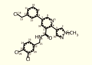 Cn1cc(-c2ncc(-c3cccc(CCl)c3)cc2C(=O)NCc2ccc(Cl)c(Cl)c2)cn1